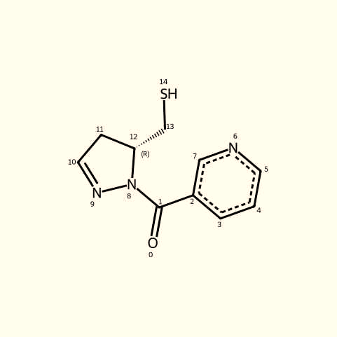 O=C(c1cccnc1)N1N=CC[C@@H]1CS